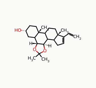 C=CC1=CCC2C3C(CC[C@]12C)[C@@]1(C)CC[C@@H](O)CC1[C@H]1OC(C)(C)O[C@H]31